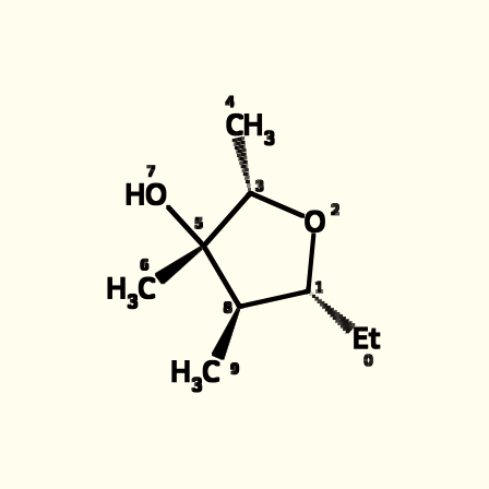 CC[C@H]1O[C@@H](C)[C@@](C)(O)[C@@H]1C